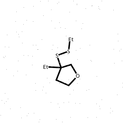 CCSSC1(CC)CCOC1